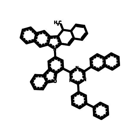 CC1c2c(n(-c3cc(-c4nc(-c5cccc(-c6ccccc6)c5)nc(-c5ccc6ccccc6c5)n4)c4oc5ccccc5c4c3)c3cc4ccccc4cc23)C=C2C=CC=CC21